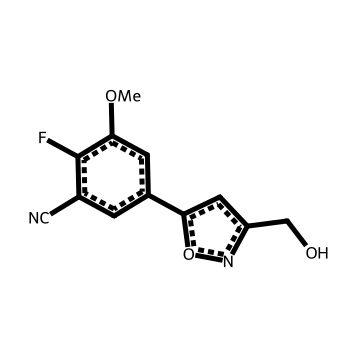 COc1cc(-c2cc(CO)no2)cc(C#N)c1F